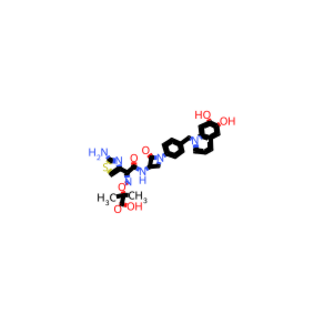 CC(C)(ON=C(C(=O)NC1CN(c2ccc(C[n+]3cccc4cc(O)c(O)cc43)cc2)C1=O)c1csc(N)n1)C(=O)O